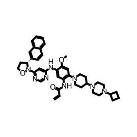 C=CC(=O)Nc1cc(Nc2cc(N3OCC[C@@H]3c3ccc4ccccc4c3)ncn2)c(OC)cc1N1CCC(N2CCN(C3CCC3)CC2)CC1